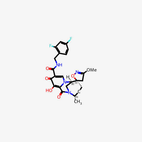 COC1=NO[C@@]2(CC[C@H](C)N3C[C@H]2n2cc(C(=O)NCc4ccc(F)cc4F)c(=O)c(O)c2C3=O)C1